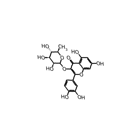 C[C@H]1OC(Oc2c(-c3ccc(O)c(O)c3)oc3cc(O)cc(O)c3c2=O)[C@@H](O)[C@@H](O)[C@@H]1O